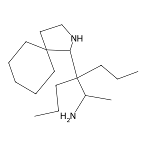 CCCC(CCC)(C(C)N)C1NCCC12CCCCC2